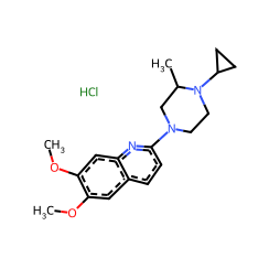 COc1cc2ccc(N3CCN(C4CC4)C(C)C3)nc2cc1OC.Cl